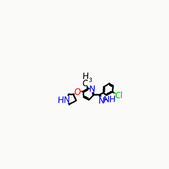 Cc1nc(-c2n[nH]c3c(Cl)cccc23)ccc1OC1CCNC1